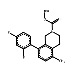 Cc1ccc(-c2ccc(F)cc2F)c2c1CCN(C(=O)OC(C)(C)C)C2